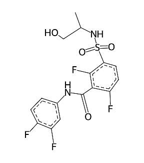 CC(CO)NS(=O)(=O)c1ccc(F)c(C(=O)Nc2ccc(F)c(F)c2)c1F